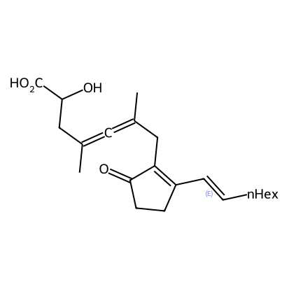 CCCCCC/C=C/C1=C(CC(C)=C=C(C)CC(O)C(=O)O)C(=O)CC1